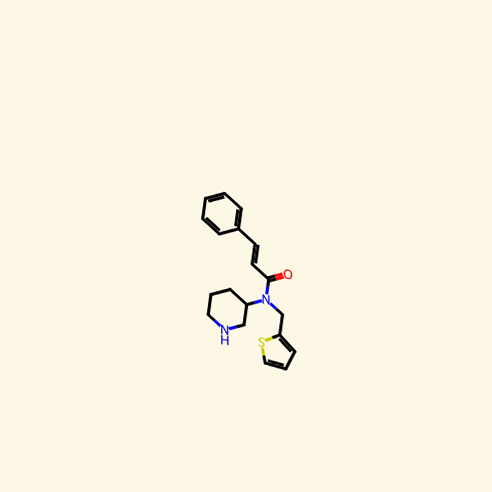 O=C(/C=C/c1ccccc1)N(Cc1cccs1)C1CCCNC1